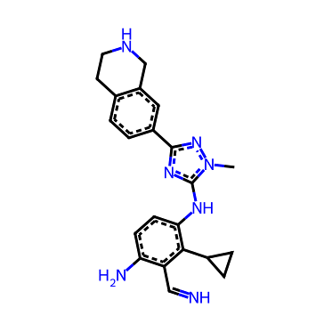 Cn1nc(-c2ccc3c(c2)CNCC3)nc1Nc1ccc(N)c(C=N)c1C1CC1